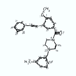 COc1ccc(C(=O)N2CCN(c3cc(C)ccn3)CC2)cc1C#Cc1ccccc1